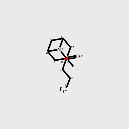 O=C(CCC(F)(F)F)N1C2CC1CN(I)C2